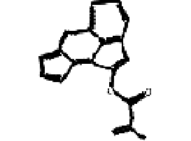 C=C(C)C(=O)OC1=Cc2cccc3c2C1=C1C=CC=C1C3